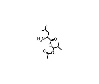 CC(=O)OC(OC(=O)C(N)CC(C)C)C(C)C